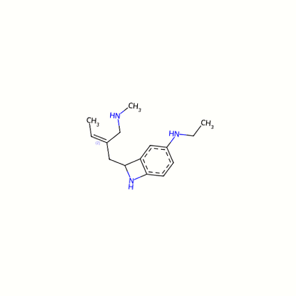 C/C=C(\CNC)CC1Nc2ccc(NCC)cc21